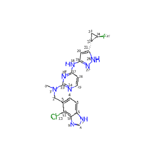 CN(Cc1ccc2[nH]cnc2c1Cl)c1nccc(Nc2cc([C@@H]3C[C@H]3F)[nH]n2)n1